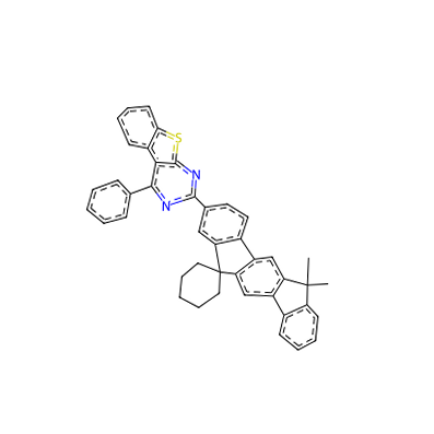 CC1(C)c2ccccc2-c2cc3c(cc21)-c1ccc(-c2nc(-c4ccccc4)c4c(n2)sc2ccccc24)cc1C31CCCCC1